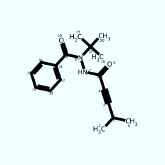 CC(C)C#CC(=O)NN(C(=O)c1ccccc1)C(C)(C)C